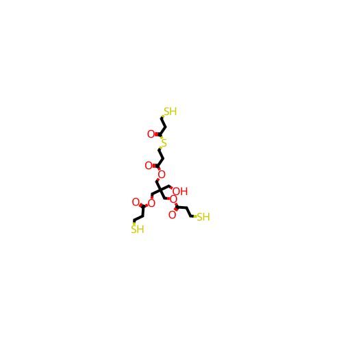 O=C(CCS)OCC(CO)(COC(=O)CCS)COC(=O)CCSC(=O)CCS